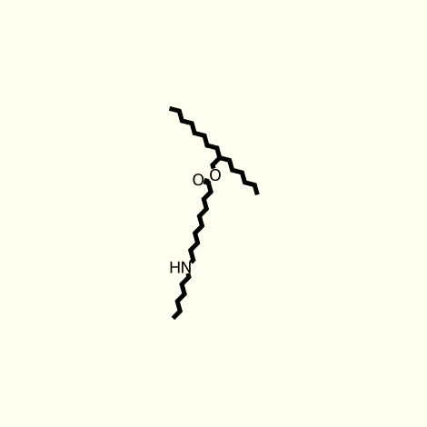 CCCCCCCCC(CCCCCC)COC(=O)CCCCCCCCCNCCCCCC